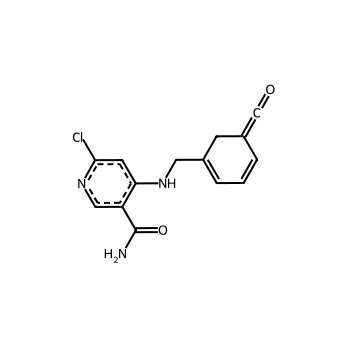 NC(=O)c1cnc(Cl)cc1NCC1=CC=CC(=C=O)C1